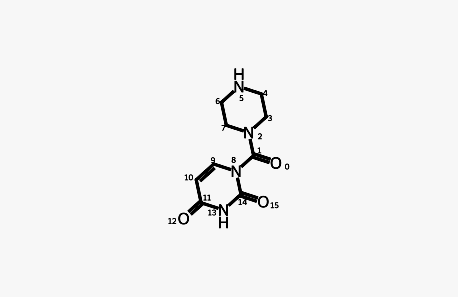 O=C(N1CCNCC1)n1ccc(=O)[nH]c1=O